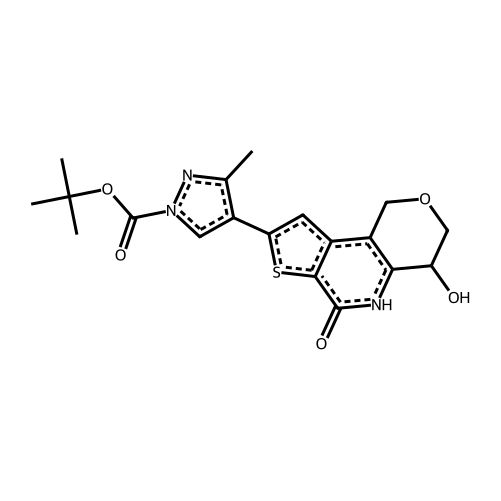 Cc1nn(C(=O)OC(C)(C)C)cc1-c1cc2c3c([nH]c(=O)c2s1)C(O)COC3